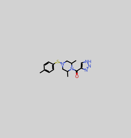 Cc1ccc(SN2CC(C)N(C(=O)c3c[nH]nn3)C(C)C2)cc1